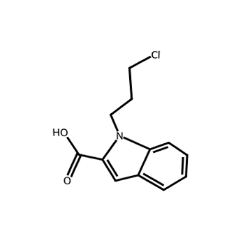 O=C(O)c1cc2ccccc2n1CCCCl